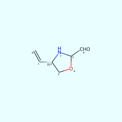 C=C[C@H]1COC(C=O)N1